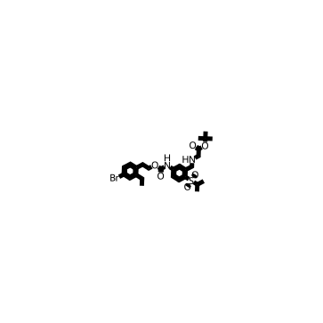 CCc1cc(Br)ccc1CCOC(=O)Nc1ccc(S(=O)(=O)C(C)C)c(CNCC(=O)OC(C)(C)C)c1